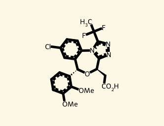 COc1cccc([C@H]2O[C@H](CC(=O)O)c3nnc(C(C)(F)F)n3-c3ccc(Cl)cc32)c1OC